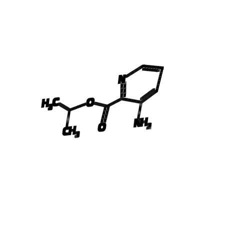 CC(C)OC(=O)c1ncccc1N